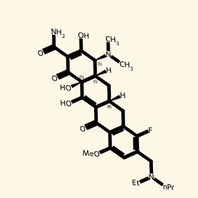 CCCN(CC)Cc1cc(OC)c2c(c1F)C[C@H]1C[C@H]3[C@H](N(C)C)C(O)=C(C(N)=O)C(=O)[C@@]3(O)C(O)=C1C2=O